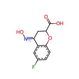 O=C(O)C1C/C(=N\O)c2cc(F)ccc2O1